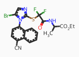 CCOC(=O)C(C)NC(=O)C(F)(F)Sc1ncc(Br)n1-c1ccc(C#N)c2ccccc12